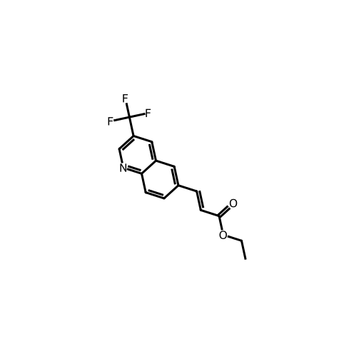 CCOC(=O)/C=C/c1ccc2ncc(C(F)(F)F)cc2c1